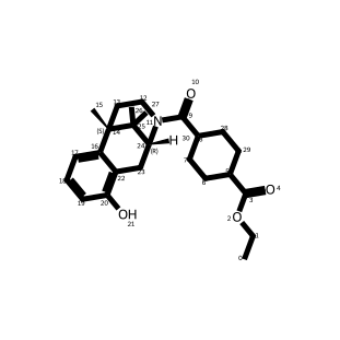 CCOC(=O)C1CCC(C(=O)N2CC[C@@]3(C)c4cccc(O)c4C[C@@H]2C3(C)C)CC1